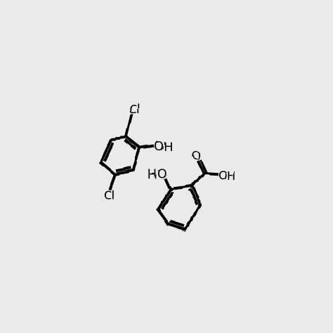 O=C(O)c1ccccc1O.Oc1cc(Cl)ccc1Cl